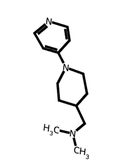 CN(C)CC1CCN(c2ccncc2)CC1